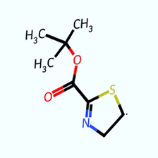 CC(C)(C)OC(=O)C1=NC[CH]S1